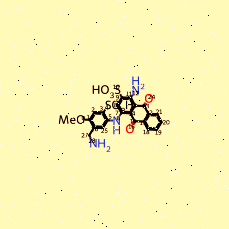 COc1cc(S(=O)(=O)O)c(Nc2cc(S(=O)(=O)O)c(N)c3c2C(=O)c2ccccc2C3=O)cc1CN